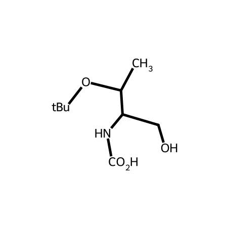 CC(OC(C)(C)C)C(CO)NC(=O)O